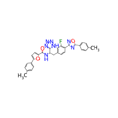 Cc1ccc(-c2ccc(C(=O)NC(Cc3ccc(-c4noc(-c5ccc(C)cc5)n4)c(F)c3)c3nnn[nH]3)o2)cc1